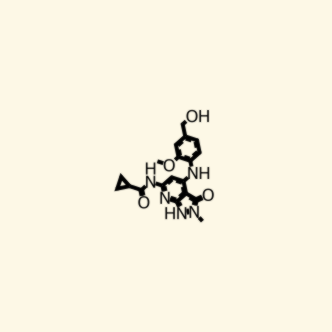 COc1cc(CO)ccc1Nc1cc(NC(=O)C2CC2)nc2[nH]n(C)c(=O)c12